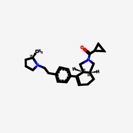 C[C@@H]1CCCN1CCc1ccc(C2=CCC[C@@H]3CN(C(=O)C4CC4)C[C@H]23)cc1